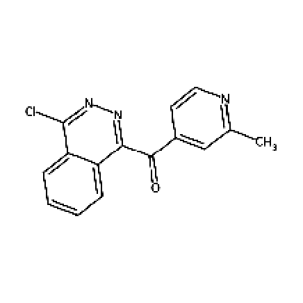 Cc1cc(C(=O)c2nnc(Cl)c3ccccc23)ccn1